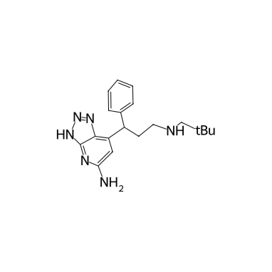 CC(C)(C)CNCCC(c1ccccc1)c1cc(N)nc2[nH]nnc12